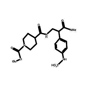 CNC(=O)C(CNC(=O)C1CCN(C(=O)OC(C)(C)C)CC1)c1ccc(NS(=O)(=O)O)cc1